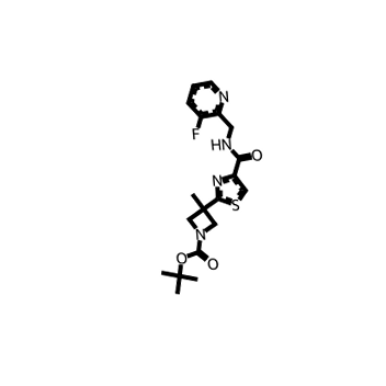 CC(C)(C)OC(=O)N1CC(C)(c2nc(C(=O)NCc3ncccc3F)cs2)C1